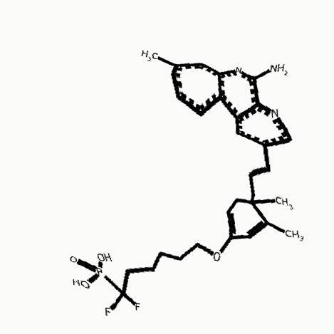 CC1=CC(OCCCCCC(F)(F)P(=O)(O)O)=CCC1(C)CCc1cnc2c(N)nc3cc(C)ccc3c2c1